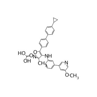 COc1cncc(-c2cccc(Nc3c(C)noc3-c3ccc(-c4ccc(C5CC5)cc4)cc3)c2)c1.O=C(O)O